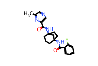 Cc1cncc(C(=O)NC23CCCC(NC(=O)c4ccccc4F)(CC2)C3)n1